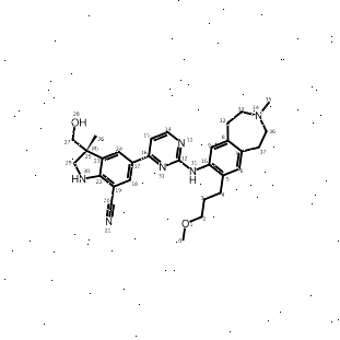 COCCCc1cc2c(cc1Nc1nccc(-c3cc(C#N)c4c(c3)[C@@](C)(CO)CN4)n1)CCN(C)CC2